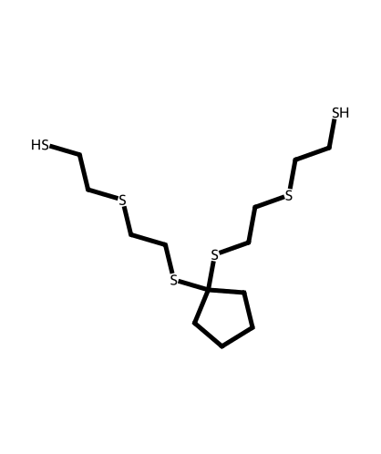 SCCSCCSC1(SCCSCCS)CCCC1